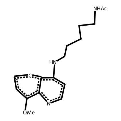 COc1cccc2c(NCCCCCNC(C)=O)ccnc12